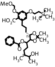 COCOc1cc(OCC[Si](C)(C)C)cc(CCC[C@@H]2OC(C)(C)OC2C(CC[C@@H](C)C(C)O)OC(=O)c2ccccc2)c1C(=O)O